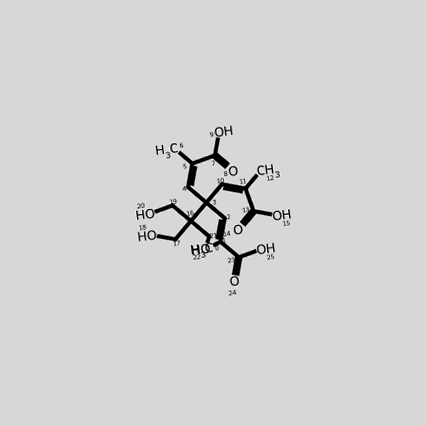 CC(=CC(C=C(C)C(=O)O)(C=C(C)C(=O)O)C(CO)(CO)CO)C(=O)O